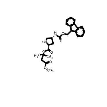 COC(=O)CC(C)(C)OC(=O)[C@@H]1C[C@@H](NC(=O)OCC2c3ccccc3-c3ccccc32)CN1